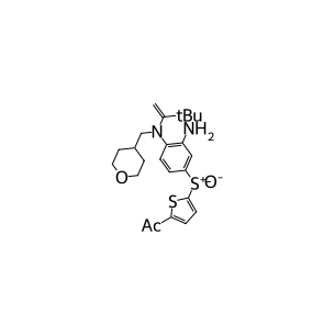 C=C(N(CC1CCOCC1)c1ccc([S+]([O-])c2ccc(C(C)=O)s2)cc1N)C(C)(C)C